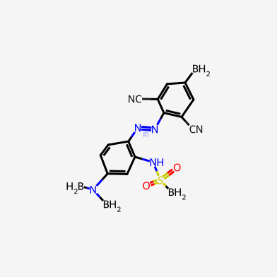 Bc1cc(C#N)c(/N=N/c2ccc(N(B)B)cc2NS(B)(=O)=O)c(C#N)c1